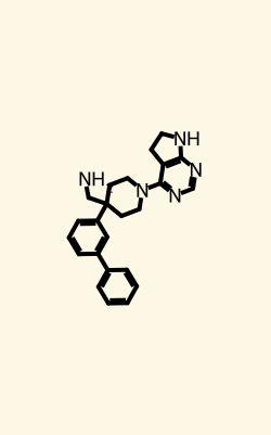 NCC1(c2cccc(-c3ccccc3)c2)CCN(c2ncnc3c2CCN3)CC1